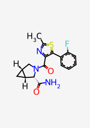 Cc1nc(C(=O)N2C[C@H]3C[C@H]3[C@H]2C(N)=O)c(-c2ccccc2F)s1